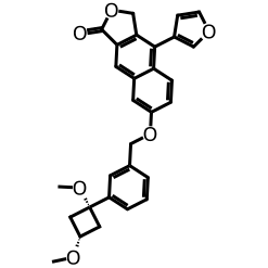 CO[C@H]1C[C@](OC)(c2cccc(COc3ccc4c(-c5ccoc5)c5c(cc4c3)C(=O)OC5)c2)C1